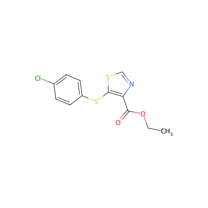 CCOC(=O)c1ncsc1Sc1ccc(Cl)cc1